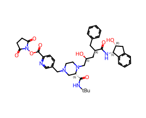 CC(C)(C)NC(=O)[C@@H]1CN(Cc2ccc(C(=O)ON3C(=O)CCC3=O)nc2)CCN1C[C@@H](O)C[C@@H](Cc1ccccc1)C(=O)N[C@H]1c2ccccc2C[C@H]1O